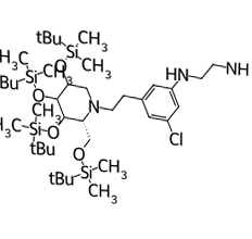 CC(C)(C)[Si](C)(C)OC[C@@H]1C(O[Si](C)(C)C(C)(C)C)C(O[Si](C)(C)C(C)(C)C)C(O[Si](C)(C)C(C)(C)C)CN1CCc1cc(Cl)cc(NCCN)c1